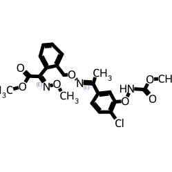 CO/N=C(/C(=O)OC)c1ccccc1CO/N=C(\C)c1ccc(Cl)c(ONC(=O)OC)c1